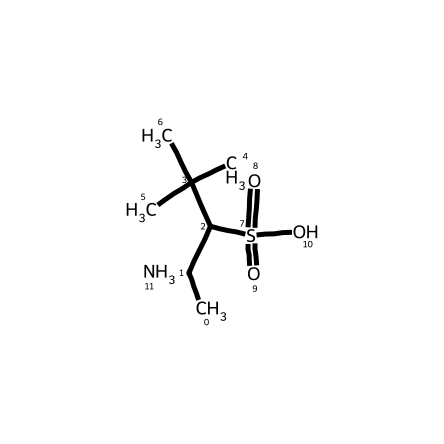 CCC(C(C)(C)C)S(=O)(=O)O.N